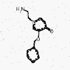 NCCn1ccc(=O)c(OCc2ccccc2)c1